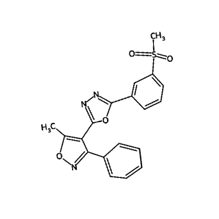 Cc1onc(-c2ccccc2)c1-c1nnc(-c2cccc(S(C)(=O)=O)c2)o1